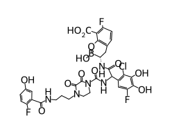 O=C(NCCCN1CCN(C(=O)NC(C(=O)N[C@H]2Cc3ccc(F)c(C(=O)O)c3OB2O)c2cc(F)c(O)c(O)c2Cl)C(=O)C1=O)c1cc(O)ccc1F